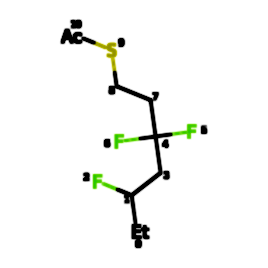 CCC(F)CC(F)(F)CCSC(C)=O